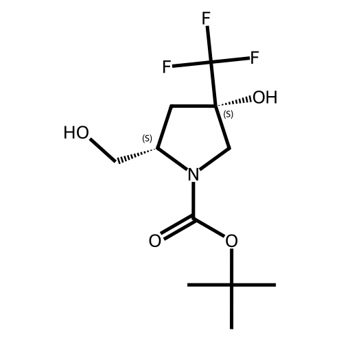 CC(C)(C)OC(=O)N1C[C@](O)(C(F)(F)F)C[C@H]1CO